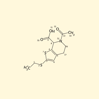 CCSc1cc2c(s1)C(C(=O)O)N(C(C)=O)CC2